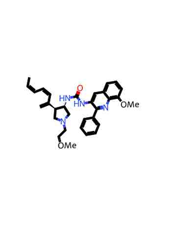 C=C(/C=C\C=C/C)[C@@H]1CN(CCOC)C[C@H]1NC(=O)Nc1cc2cccc(OC)c2nc1-c1ccccc1